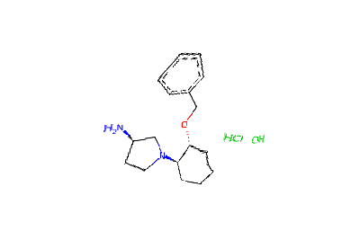 Cl.Cl.N[C@@H]1CCN([C@@H]2CCCC[C@H]2OCc2ccccc2)C1